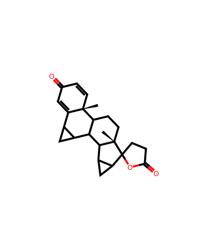 C[C@]12C=CC(=O)C=C1C1CC1C1C2CC[C@@]2(C)C1C1CC1C21CCC(=O)O1